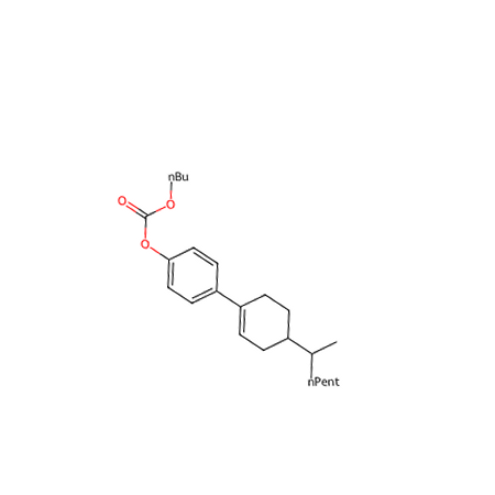 CCCCCC(C)C1CC=C(c2ccc(OC(=O)OCCCC)cc2)CC1